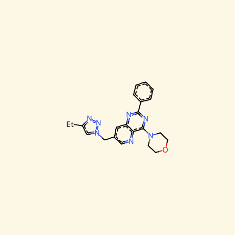 CCc1cn(Cc2cnc3c(N4CCOCC4)nc(-c4ccccc4)nc3c2)nn1